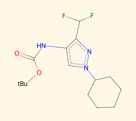 CC(C)(C)OC(=O)Nc1cn(C2CCCCC2)nc1C(F)F